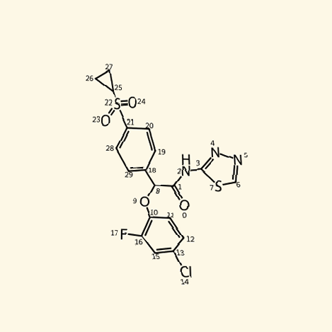 O=C(Nc1nncs1)C(Oc1ccc(Cl)cc1F)c1ccc(S(=O)(=O)C2CC2)cc1